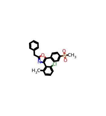 Cc1cccc(Cl)c1-c1nc(Cc2ccccc2)oc1-c1ccc(S(C)(=O)=O)cc1